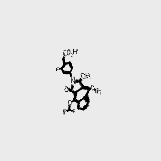 CC(C)Oc1c2c(c(OC(F)F)c3ccccc13)C(=O)N(c1ccc(CC(=O)O)c(F)c1)C2O